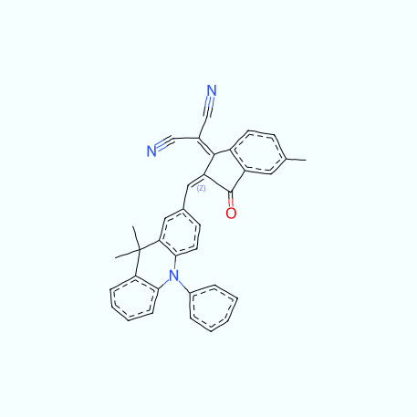 Cc1ccc2c(c1)C(=O)/C(=C\c1ccc3c(c1)C(C)(C)c1ccccc1N3c1ccccc1)C2=C(C#N)C#N